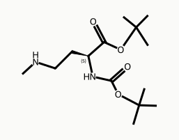 CNCC[C@H](NC(=O)OC(C)(C)C)C(=O)OC(C)(C)C